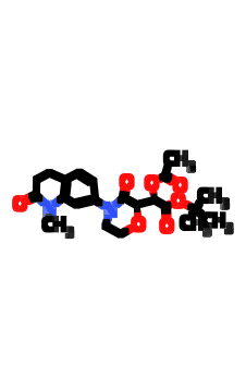 CC(=O)O[C@@H](C(=O)OC(C)(C)C)[C@H]1OCCN(c2ccc3c(c2)N(C)C(=O)CC3)C1=O